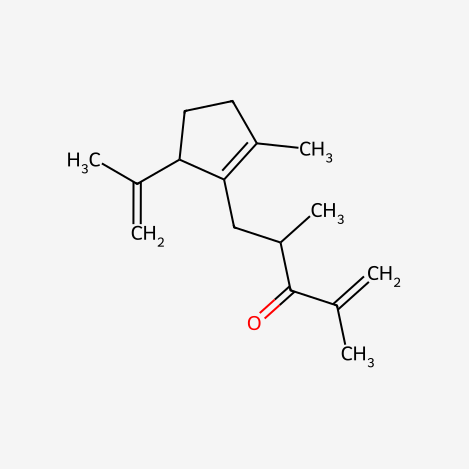 C=C(C)C(=O)C(C)CC1=C(C)CCC1C(=C)C